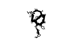 COCCSc1c(Cl)ccc2c1CCNCC2